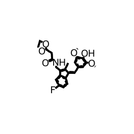 COc1cc(C=C2C(C)=C(CNC(=O)CC3OCCO3)c3cc(F)ccc32)cc(OC)c1O